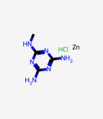 CNc1nc(N)nc(N)n1.Cl.[Zn]